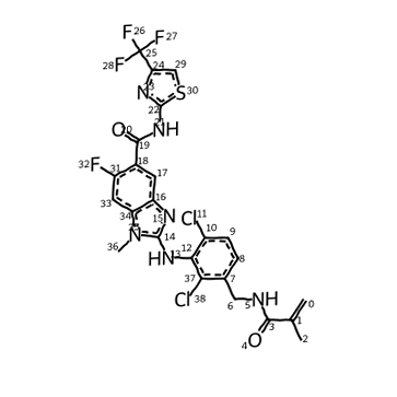 C=C(C)C(=O)NCc1ccc(Cl)c(Nc2nc3cc(C(=O)Nc4nc(C(F)(F)F)cs4)c(F)cc3n2C)c1Cl